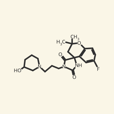 CC1(C)CC2(NC(=O)N(CCCN3CCCC(O)C3)C2=O)c2cc(F)ccc2O1